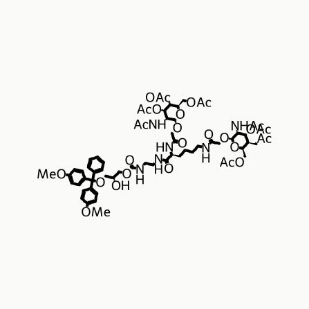 COc1ccc(C(OC[C@@H](O)COC(=O)NCCNC(=O)[C@H](CCCCNC(=O)CO[C@@H]2O[C@H](COC(C)=O)[C@H](CC(C)=O)[C@H](OC(C)=O)[C@H]2NC(C)=O)NC(=O)CO[C@@H]2O[C@H](COC(C)=O)[C@H](OC(C)=O)[C@H](OC(C)=O)[C@H]2NC(C)=O)(c2ccccc2)c2ccc(OC)cc2)cc1